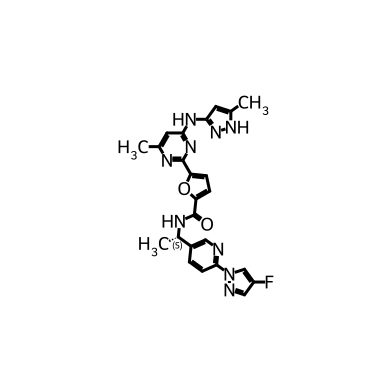 Cc1cc(Nc2cc(C)[nH]n2)nc(-c2ccc(C(=O)N[C@@H](C)c3ccc(-n4cc(F)cn4)nc3)o2)n1